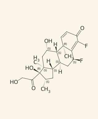 C[C@H]1C[C@H]2[C@@H]3C[C@H](F)C4=C(F)C(=O)C=C[C@]4(C)[C@H]3[C@@H](O)C[C@]2(C)[C@@]1(O)C(=O)CO